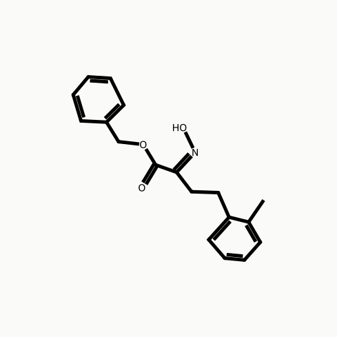 Cc1ccccc1CCC(=NO)C(=O)OCc1ccccc1